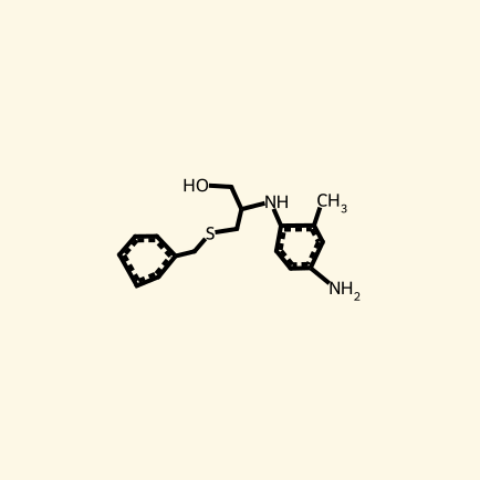 Cc1cc(N)ccc1NC(CO)CSCc1ccccc1